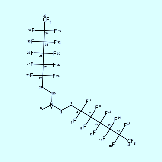 CN(CCC(F)(F)C(F)(F)C(F)(F)C(F)(F)C(F)(F)C(F)(F)F)CCC(F)(F)C(F)(F)C(F)(F)C(F)(F)C(F)(F)C(F)(F)F